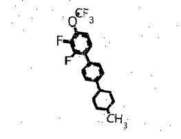 CC1CCC(c2ccc(-c3ccc(OC(F)(F)F)c(F)c3F)cc2)CC1